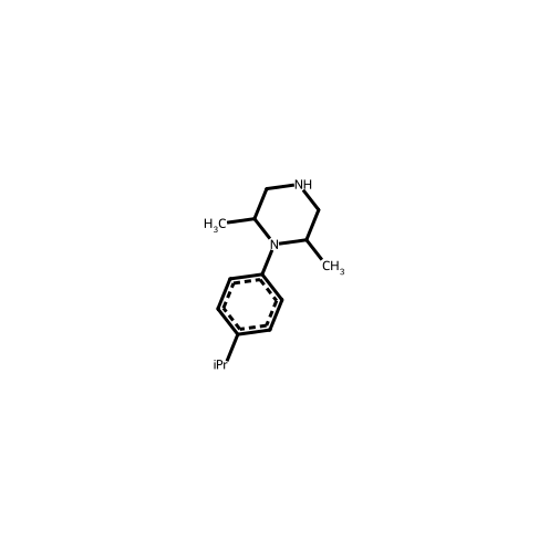 CC(C)c1ccc(N2C(C)CNCC2C)cc1